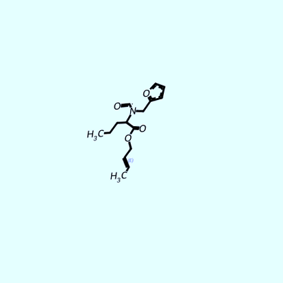 C/C=C/COC(=O)C(CCC)N([C]=O)Cc1ccco1